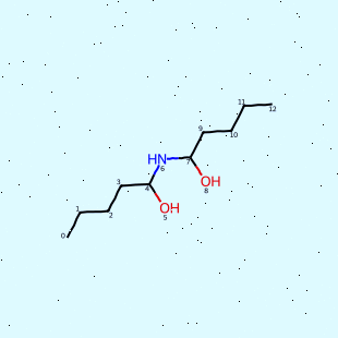 CCCCC(O)NC(O)CCCC